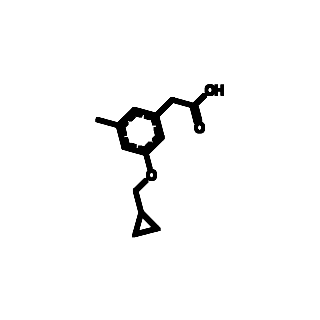 Cc1cc(CC(=O)O)cc(OCC2CC2)c1